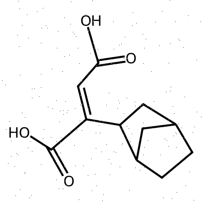 O=C(O)/C=C(/C(=O)O)C1CC2CCC1C2